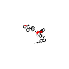 CCc1cccc2cc(OCOC)cc(-c3ncc4c(N5CC6CCC(C5)N6C(=O)OC(C)(C)C)nc(OC[C@@H]5CCC6(CO[Si](c7ccccc7)(c7ccccc7)C(C)(C)C)CCCN56)nc4c3F)c12